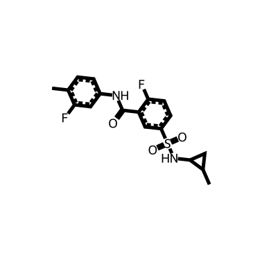 Cc1ccc(NC(=O)c2cc(S(=O)(=O)NC3CC3C)ccc2F)cc1F